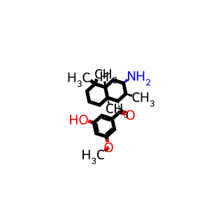 COc1cc(O)cc(C(=O)[C@H]2[C@H](C)[C@H](N)C[C@H]3C(C)(C)CCC[C@]23C)c1